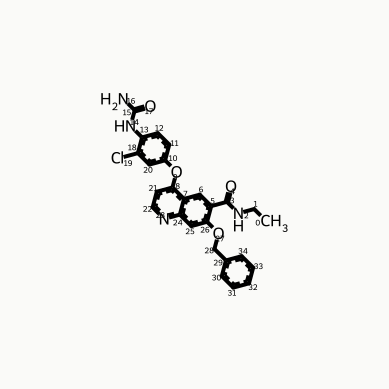 CCNC(=O)c1cc2c(Oc3ccc(NC(N)=O)c(Cl)c3)ccnc2cc1OCc1ccccc1